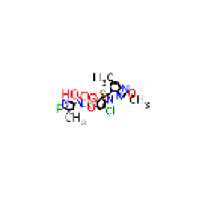 COc1cnc2c(-c3nc4c(Cl)cc5c(c4s3)OC[C@@H](CN(C(=O)O)c3cnc(F)c(C)c3)O5)cc(C)cc2n1